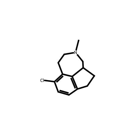 CN1CCc2c(Cl)ccc3c2C(CC3)C1